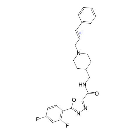 O=C(NCC1CCN(C/C=C/c2ccccc2)CC1)c1nnc(-c2ccc(F)cc2F)o1